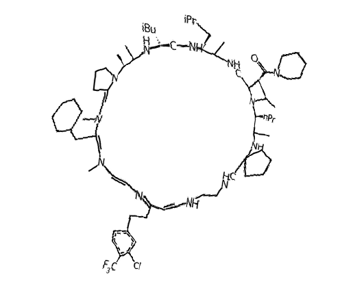 CCC[C@H]1C(C)NC2(CCCC2)CNCCNC=CC(CCc2ccc(C(F)(F)F)c(Cl)c2)=NC=CN(C)C=C(CC2CCCCC2)N(C)C=C2CCCN2[C@@H](C)C(C)N[C@@H]([C@@H](C)CC)CN[C@@H](CC(C)C)C(C)NCC2[C@@H](C(=O)N3CCCCC3)C(C)N21